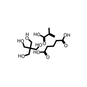 C=C(C)C(=O)O.O=C(O)CCCC(=O)O.OCC(CO)(CO)CO